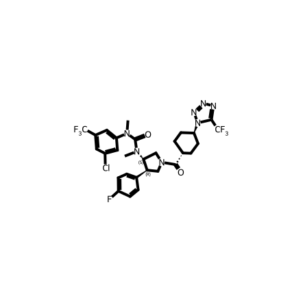 CN(C(=O)N(C)[C@@H]1CN(C(=O)[C@H]2CC[C@H](n3nnnc3C(F)(F)F)CC2)C[C@H]1c1ccc(F)cc1)c1cc(Cl)cc(C(F)(F)F)c1